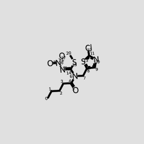 CCCCC(=O)N(Cc1cnc(Cl)s1)C(=N[N+](=O)[O-])SC